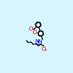 CCCCc1cc(COC)n(Cc2ccc(-c3ccccc3C(=O)OC)cc2)n1